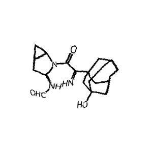 N=C(C(=O)N1C(NC=O)CC2CC21)C12CC3CC(CC(O)(C3)C1)C2